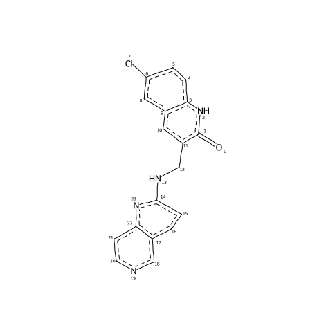 O=c1[nH]c2ccc(Cl)cc2cc1CNc1ccc2cnccc2n1